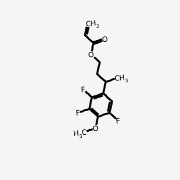 C=CC(=O)OCCC(C)c1cc(F)c(OC)c(F)c1F